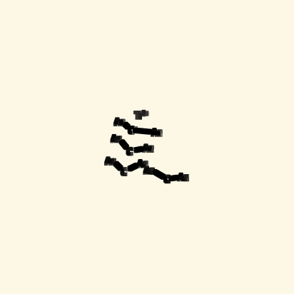 CC(=O)[CH-]C(C)=O.CC(=O)[CH-]C(C)=O.CC(=O)[CH-]C(C)=O.CC(=O)[CH-]C(C)=O.[Ti+4]